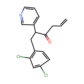 C=CCC(=O)C(Cc1ccc(Cl)cc1Cl)c1cccnc1